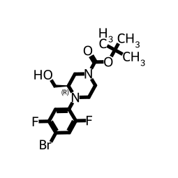 CC(C)(C)OC(=O)N1CCN(c2cc(F)c(Br)cc2F)[C@@H](CO)C1